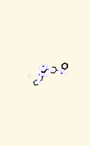 Cn1c(C(=O)N2CC[C@@H](F)C2)nc2c(N3CCC(N4C(=O)[N]c5ccccc54)CC3)ncnc21